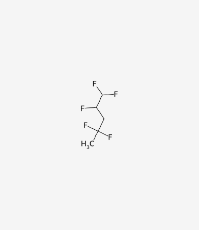 CC(F)(F)CC(F)C(F)F